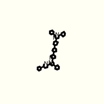 c1ccc(-c2ccc(-c3cc(-c4ccccc4)cc(-c4ccc(-c5ccc(-c6ccc(-c7cc(-c8ccccc8)nc(-c8ccccc8)n7)cc6)cc5)cn4)n3)nc2)cc1